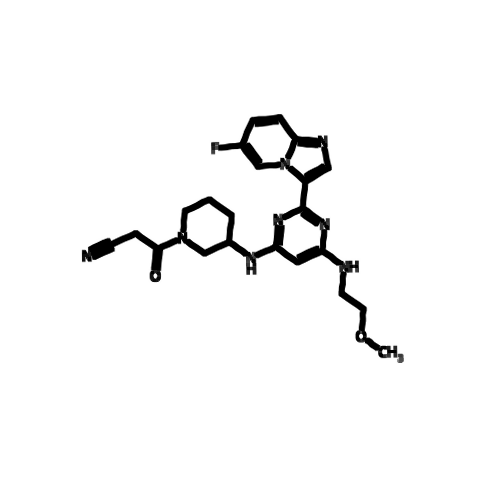 COCCNc1cc(NC2CCCN(C(=O)CC#N)C2)nc(-c2cnc3ccc(F)cn23)n1